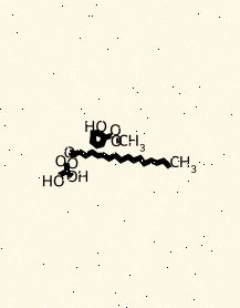 CCCCCCCCCCCCCCCCCC(=O)OC(=O)C(O)CO.COC(=O)c1ccccc1O